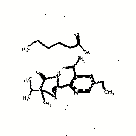 CCCCCC(=O)O.CCc1cnc(C2=NC(C)(C(C)C)C(=O)N2)c(C(N)=O)c1